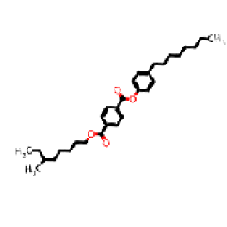 CCCCCCCCc1ccc(OC(=O)c2ccc(C(=O)OCCCCCC(C)CC)cc2)cc1